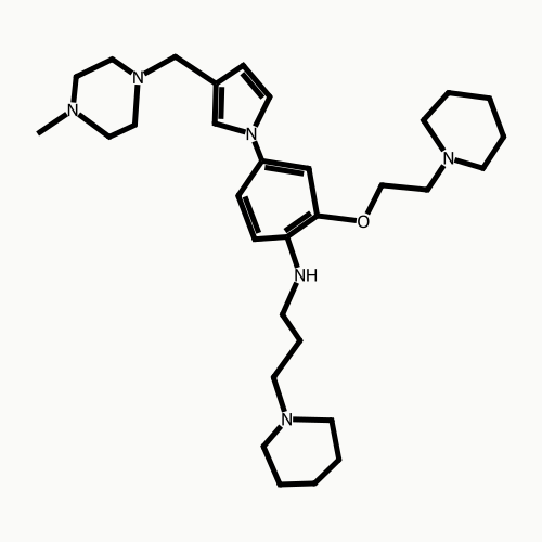 CN1CCN(Cc2ccn(-c3ccc(NCCCN4CCCCC4)c(OCCN4CCCCC4)c3)c2)CC1